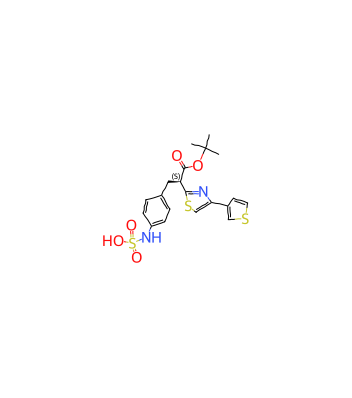 CC(C)(C)OC(=O)[C@H](Cc1ccc(NS(=O)(=O)O)cc1)c1nc(-c2ccsc2)cs1